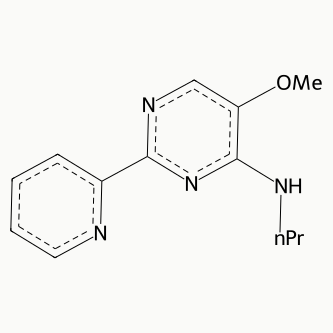 CCCNc1nc(-c2ccccn2)ncc1OC